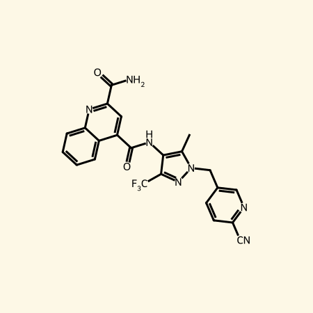 Cc1c(NC(=O)c2cc(C(N)=O)nc3ccccc23)c(C(F)(F)F)nn1Cc1ccc(C#N)nc1